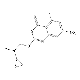 CCC(COc1nc2cc([N+](=O)[O-])cc(C)c2c(=O)o1)C1CC1